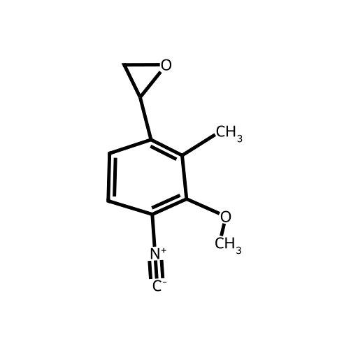 [C-]#[N+]c1ccc(C2CO2)c(C)c1OC